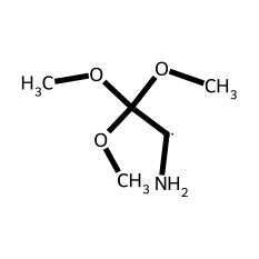 COC([CH]N)(OC)OC